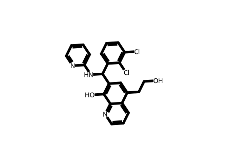 OCCc1cc(C(Nc2ccccn2)c2cccc(Cl)c2Cl)c(O)c2ncccc12